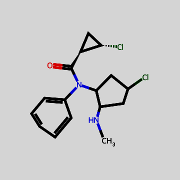 CNC1CC(Cl)CC1N(C(=O)[C@H]1C[C@@H]1Cl)c1ccccc1